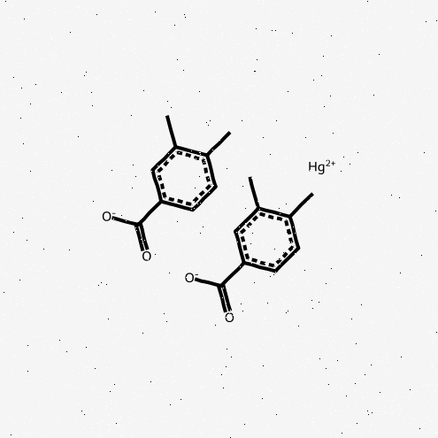 Cc1ccc(C(=O)[O-])cc1C.Cc1ccc(C(=O)[O-])cc1C.[Hg+2]